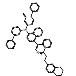 C=C/C=C(\C=C/Cc1ccccc1)N(c1cccc(-c2ccccc2)c1)c1ccc(/C(=C/N)c2ccccc2C(=C)CCc2ccc3c(c2)CCCC3)c2ccccc12